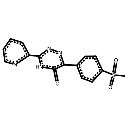 CS(=O)(=O)c1ccc(-c2nnc(-c3ccccn3)[nH]c2=O)cc1